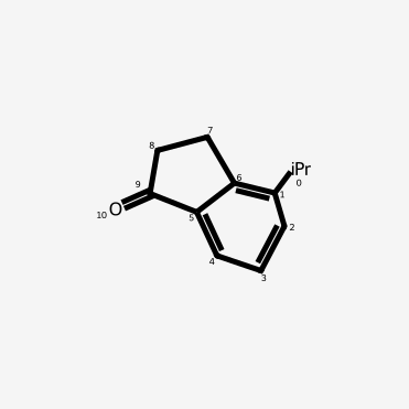 CC(C)c1cccc2c1CCC2=O